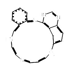 C1=NC2=CC=C3CC2=C(/N=c2/cccc/c2=C/N\C=C/N=C\C=C/O3)N1